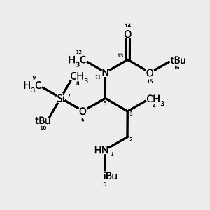 CCC(C)NCC(C)C(O[Si](C)(C)C(C)(C)C)N(C)C(=O)OC(C)(C)C